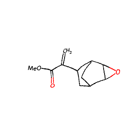 C=C(C(=O)OC)C1CC2CC1C1OC21